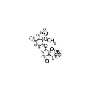 COc1c(Oc2ccc(Cl)c(C[C@@H]3CO3)c2OC)ccc(Cl)c1C[C@@H]1CO1